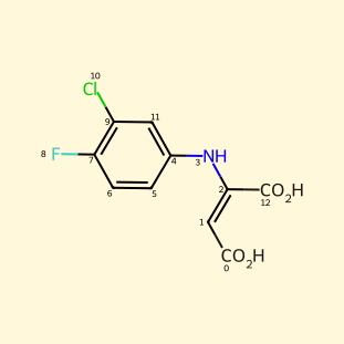 O=C(O)C=C(Nc1ccc(F)c(Cl)c1)C(=O)O